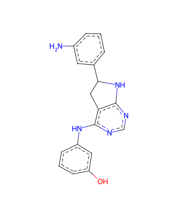 Nc1cccc(C2Cc3c(Nc4cccc(O)c4)ncnc3N2)c1